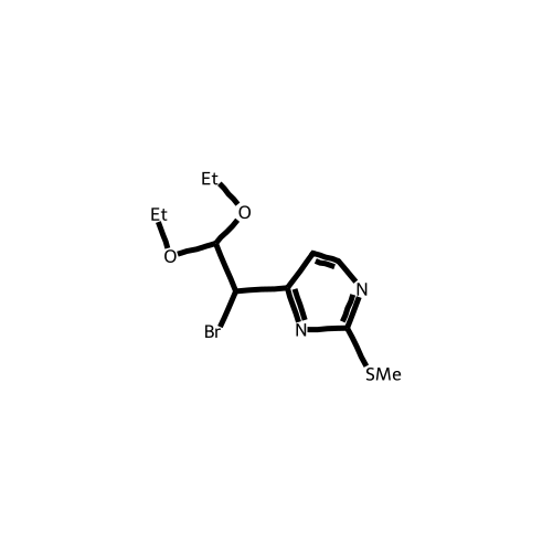 CCOC(OCC)C(Br)c1ccnc(SC)n1